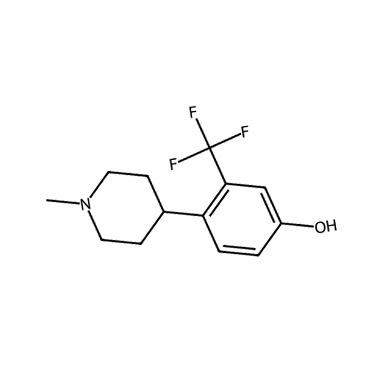 CN1CCC(c2ccc(O)cc2C(F)(F)F)CC1